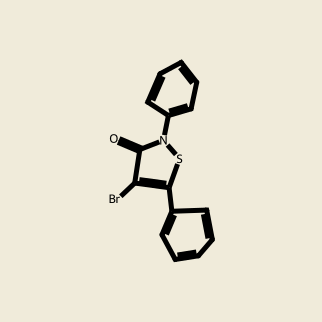 O=c1c(Br)c(-c2ccccc2)sn1-c1ccccc1